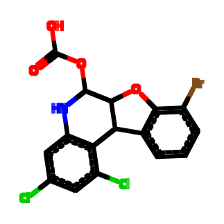 O=C(O)OC1Nc2cc(Cl)cc(Cl)c2C2c3cccc(Br)c3OC12